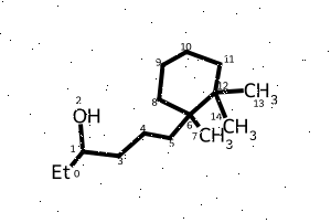 CCC(O)CCCC1(C)CCCCC1(C)C